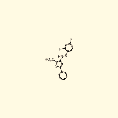 O=C(O)c1sc(-c2ccccc2)cc1NSc1ccc(F)cc1F